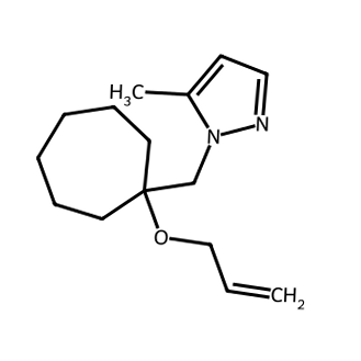 C=CCOC1(Cn2nccc2C)CCCCCC1